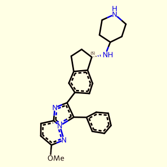 COc1ccc2nc(-c3ccc4c(c3)CC[C@@H]4NC3CCNCC3)c(-c3ccccc3)n2n1